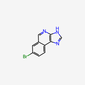 Brc1ccc2c(cnc3[nH]cnc32)c1